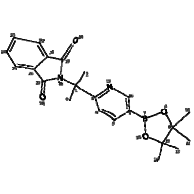 CC(C)(c1ccc(B2OC(C)(C)C(C)(C)O2)cn1)N1C(=O)c2ccccc2C1=O